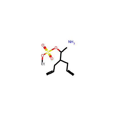 C=CCC(CC=C)C(C)OS(=O)(=O)OCC.N